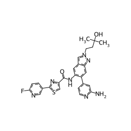 CC(C)(O)CCn1cc2cc(NC(=O)c3csc(-c4ccc(F)nc4)n3)c(-c3ccnc(N)c3)cc2n1